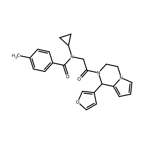 Cc1ccc(C(=O)N(CC(=O)N2CCn3cccc3C2c2ccoc2)C2CC2)cc1